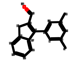 Cc1cc(C)cc(C2=C(C=O)Cc3ccccc32)c1